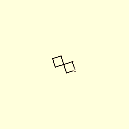 [CH]1OCC12CCC2